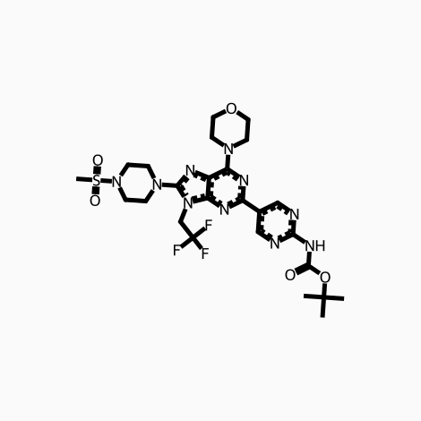 CC(C)(C)OC(=O)Nc1ncc(-c2nc(N3CCOCC3)c3nc(N4CCN(S(C)(=O)=O)CC4)n(CC(F)(F)F)c3n2)cn1